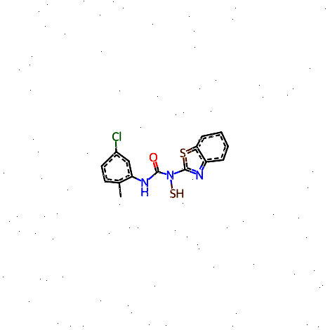 Cc1ccc(Cl)cc1NC(=O)N(S)c1nc2ccccc2s1